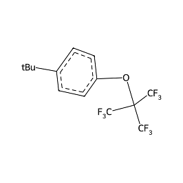 CC(C)(C)c1ccc(OC(C(F)(F)F)(C(F)(F)F)C(F)(F)F)cc1